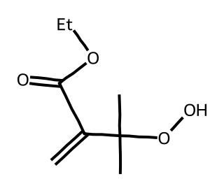 C=C(C(=O)OCC)C(C)(C)OO